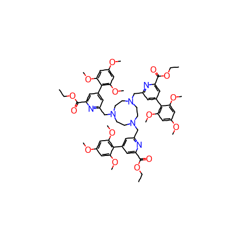 CCOC(=O)c1cc(-c2c(OC)cc(OC)cc2OC)cc(CN2CCN(Cc3cc(-c4c(OC)cc(OC)cc4OC)cc(C(=O)OCC)n3)CCN(Cc3cc(-c4c(OC)cc(OC)cc4OC)cc(C(=O)OCC)n3)CC2)n1